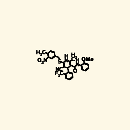 COc1ccccc1NC(=O)C1=C(C)NC(SCc2ccc(C)c([N+](=O)[O-])c2)=C(C#N)C1c1ccccc1C(F)(F)F